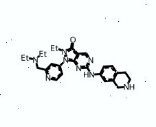 CCN(CC)Cc1cc(-n2c3nc(Nc4ccc5c(c4)CNCC5)ncc3c(=O)n2CC)ccn1